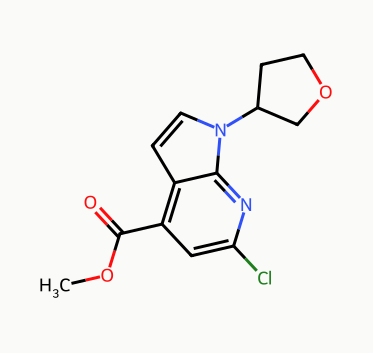 COC(=O)c1cc(Cl)nc2c1ccn2C1CCOC1